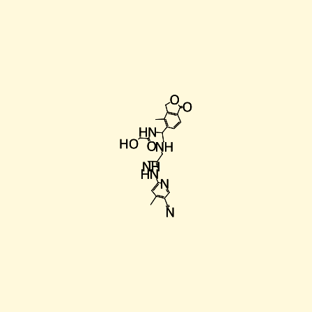 Cc1cc(N/C=C(\C=N)CNCC(NC(=O)CO)c2ccc3c(c2C)COC3=O)ncc1C#N